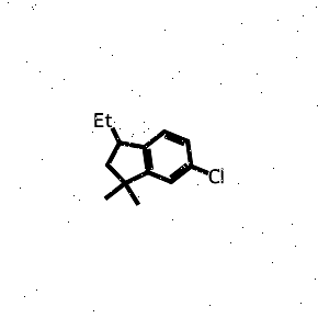 CCC1CC(C)(C)c2cc(Cl)ccc21